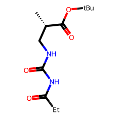 CCC(=O)NC(=O)NC[C@H](C)C(=O)OC(C)(C)C